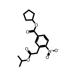 CC(C)OC(=O)Cc1cc(C(=O)OC2CCCC2)ccc1[N+](=O)[O-]